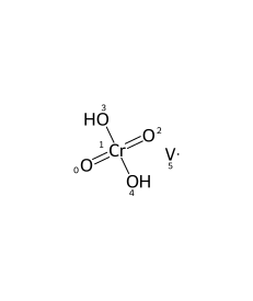 [O]=[Cr](=[O])([OH])[OH].[V]